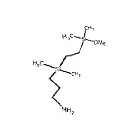 CO[Si](C)(C)CC[Si](C)(C)CCCN